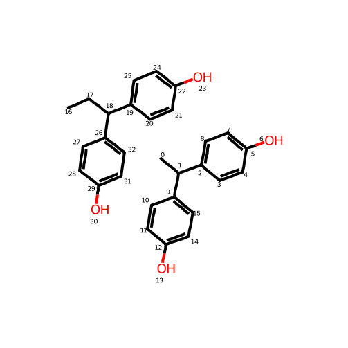 CC(c1ccc(O)cc1)c1ccc(O)cc1.CCC(c1ccc(O)cc1)c1ccc(O)cc1